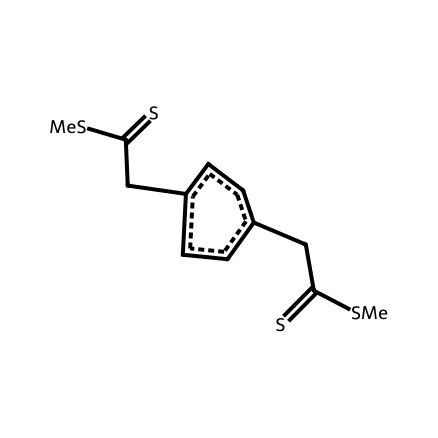 CSC(=S)Cc1ccc(CC(=S)SC)cc1